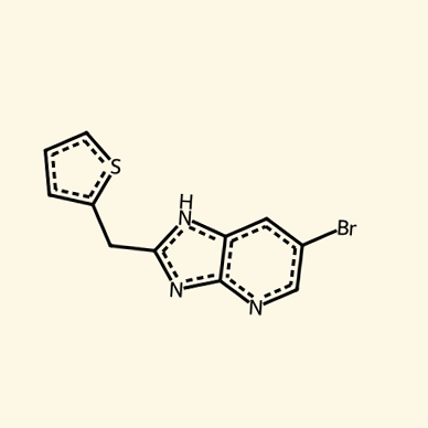 Brc1cnc2nc(Cc3cccs3)[nH]c2c1